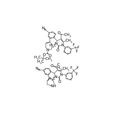 CC(=O)C1=C(C)N(c2cccc(C(F)(F)F)c2)C(=O)N(C)C1c1ccc(C#N)cc1C1=CCN(C(=O)OC(C)(C)C)CC1.CC(=O)C1=C(C)N(c2cccc(C(F)(F)F)c2)C(=O)N(C)C1c1ccc(C#N)cc1C1=CCNCC1